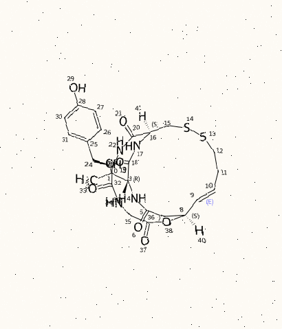 CC(C)[C@H]1NC(=O)C[C@H]2/C=C/CCSSC[C@@H](NC1=O)C(=O)N[C@H](Cc1ccc(O)cc1)C(=O)NCC(=O)O2